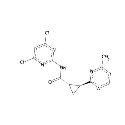 Cc1ccnc([C@H]2C[C@@H]2C(=O)Nc2nc(Cl)cc(Cl)n2)n1